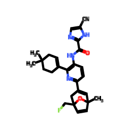 CC1(C)CC=C(c2nc(C3=CC4(C)C=CC(CF)(C3)O4)ccc2NC(=O)c2ncc(C#N)[nH]2)CC1